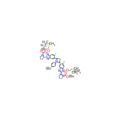 CC(C)(C)OC(=O)N1CCCC1c1nc2cc([C@H]3CC[C@H](c4cc5nc([C@@H]6CCCN6C(=O)OC(C)(C)C)n(COCCS(C)(C)C)c5cc4F)N3c3ccc(C(C)(C)C)cc3)c(F)cc2n1COCCS(C)(C)C